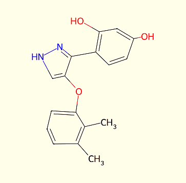 Cc1cccc(Oc2c[nH]nc2-c2ccc(O)cc2O)c1C